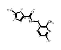 Cc1nc(Br)ccc1CNC(=O)c1cnc(C(C)(C)C)s1